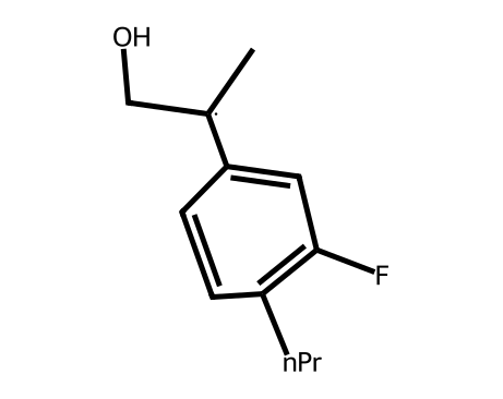 CCCc1ccc([C](C)CO)cc1F